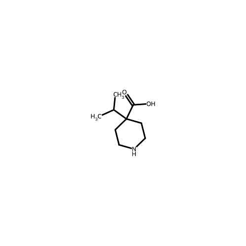 CC(C)C1(C(=O)O)CCNCC1